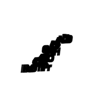 CCCc1c(O[C@@H](C)CC)ccc2cc(C(=O)Nc3ccc(CN4CCOCC4)cc3)c(=O)oc12